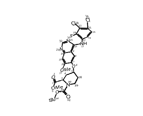 COC(=O)C1CC(Oc2cc3c(Nc4ccc(Cl)c(Cl)c4F)ncnc3cc2OC)CCN1C(=O)OC(C)(C)C